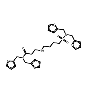 O=C(CCNCCCCS(=O)(=O)N(Cc1cccs1)Cc1cccs1)N(Cc1cccs1)Cc1cccs1